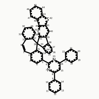 C1=Cc2ccc(-c3nc(-c4ccccc4)cc(-c4ccccc4)n3)cc2C2(c3ccccc31)c1ccccc1-c1cc3sc4ccccc4c3cc12